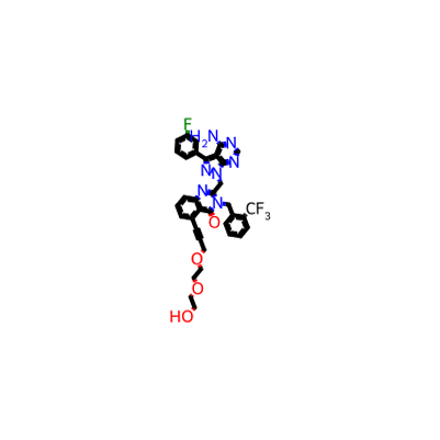 Nc1ncnc2c1c(-c1cccc(F)c1)nn2Cc1nc2cccc(C#CCOCCOCCO)c2c(=O)n1Cc1ccccc1C(F)(F)F